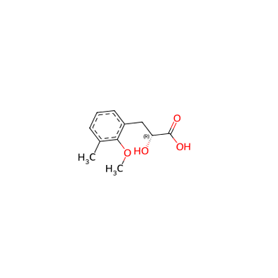 COc1c(C)cccc1C[C@@H](O)C(=O)O